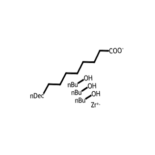 CCCCCCCCCCCCCCCCCC(=O)[O-].CCCCO.CCCCO.CCCCO.[Zr+]